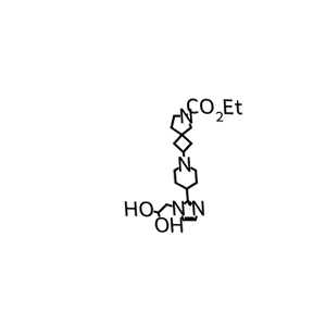 CCOC(=O)N1CCC2(CC(N3CCC(c4nccn4CC(O)O)CC3)C2)C1